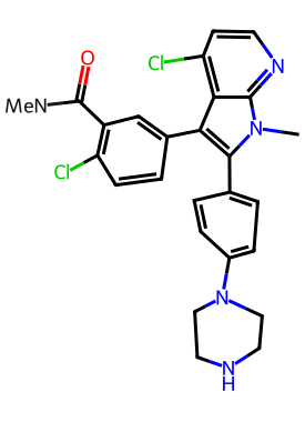 CNC(=O)c1cc(-c2c(-c3ccc(N4CCNCC4)cc3)n(C)c3nccc(Cl)c23)ccc1Cl